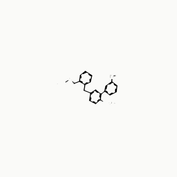 COc1ccc(Cc2ccccc2CNC=O)cc1-c1cccc(NO)c1